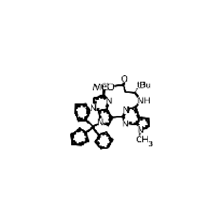 COC(=O)C[C@@H](Nc1nc(-c2cn(C(c3ccccc3)(c3ccccc3)c3ccccc3)c3ncc(Cl)nc23)nc2c1ccn2C)C(C)(C)C